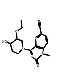 CCOC1CN(c2nc(=O)n(C)c3ccc(C#N)nc23)CCC1O